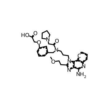 COCCc1nc2c(N)nc3ccccc3c2n1CCCN(Cc1cccc(OCC(=O)O)c1)C(=O)CN1CCCC1